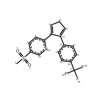 CS(=O)(=O)c1ccc(C2=CCC=C2c2ccc(C(F)(F)F)cc2)nc1